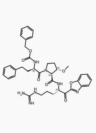 CO[C@H]1CCN(C(=O)[C@@H](CCc2ccccc2)NC(=O)OCc2ccccc2)[C@@H]1C(=O)N[C@@H](CCCNC(=N)N)C(=O)c1nc2ccccc2o1